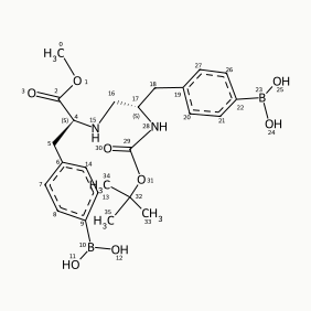 COC(=O)[C@H](Cc1ccc(B(O)O)cc1)NC[C@H](Cc1ccc(B(O)O)cc1)NC(=O)OC(C)(C)C